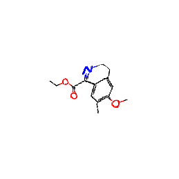 CCOC(=O)C1=NCCc2cc(OC)c(C)cc21